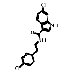 O=C(NCCc1ccc(Cl)cc1)c1c[nH]c2cc(Cl)ccc12